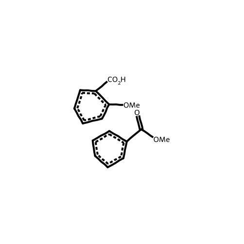 COC(=O)c1ccccc1.COc1ccccc1C(=O)O